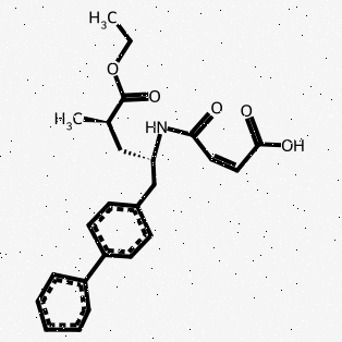 CCOC(=O)[C@H](C)C[C@@H](Cc1ccc(-c2ccccc2)cc1)NC(=O)/C=C\C(=O)O